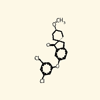 CO[C@H]1CC[C@]2(CC1)Cc1ccc(Oc3cc(Cl)cc(Cl)c3)cc1C2=O